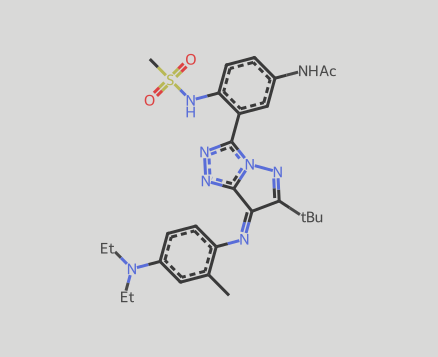 CCN(CC)c1ccc(/N=C2/C(C(C)(C)C)=Nn3c2nnc3-c2cc(NC(C)=O)ccc2NS(C)(=O)=O)c(C)c1